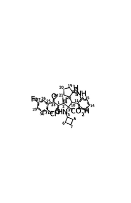 O=C(CC(NC1CCC1)(C(=O)O)C1c2ccccc2N[C@@H]2CCC[C@H]12)C(=O)c1cc(F)ccc1Cl